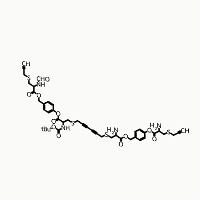 C#CCSCC(N)C(=O)Oc1ccc(COC(=O)C(N)CSCC#CC#CCSCC(NC(=O)OC(C)(C)C)C(=O)Oc2ccc(COC(=O)C(CSCC#C)NC=O)cc2)cc1